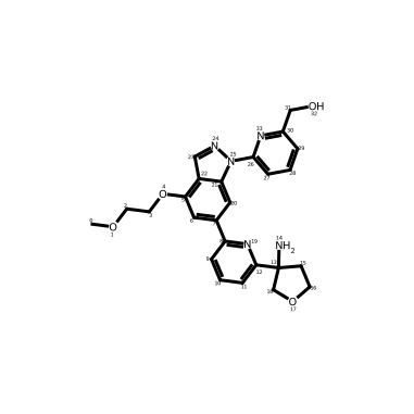 COCCOc1cc(-c2cccc(C3(N)CCOC3)n2)cc2c1cnn2-c1cccc(CO)n1